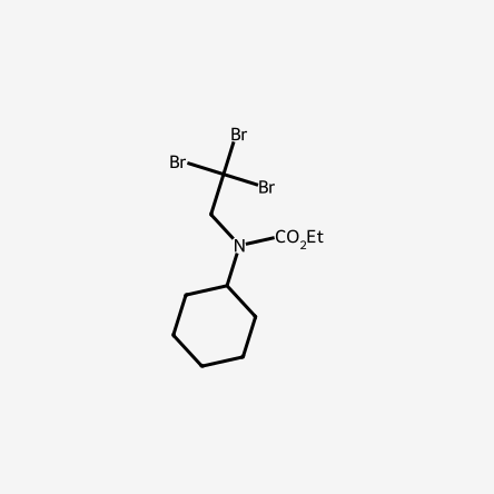 CCOC(=O)N(CC(Br)(Br)Br)C1CCCCC1